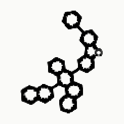 c1ccc(-c2ccc3oc4ccc(-c5c6ccccc6c(-c6ccc7ccccc7c6)c6c5ccc5ccccc56)cc4c3c2)cc1